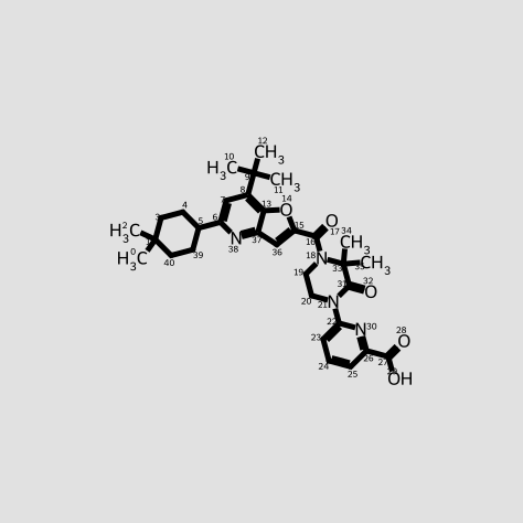 CC1(C)CCC(c2cc(C(C)(C)C)c3oc(C(=O)N4CCN(c5cccc(C(=O)O)n5)C(=O)C4(C)C)cc3n2)CC1